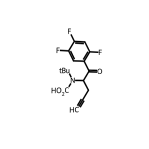 C#CCC(C(=O)c1cc(F)c(F)cc1F)N(C(=O)O)C(C)(C)C